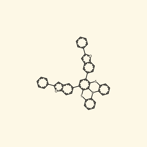 c1ccc(-c2cc3cc(-c4cc(-c5ccc6oc(-c7ccccc7)cc6c5)c5c6c4Sc4ccccc4B6c4ccccc4S5)ccc3o2)cc1